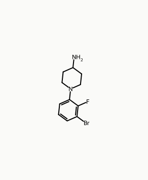 NC1CCN(c2cccc(Br)c2F)CC1